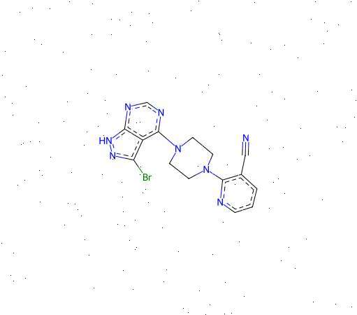 N#Cc1cccnc1N1CCN(c2ncnc3[nH]nc(Br)c23)CC1